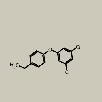 CCc1ccc(Oc2cc(Cl)cc(Cl)c2)cc1